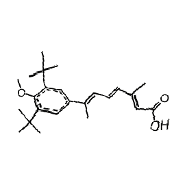 COc1c(C(C)(C)C)cc(C(C)=CC=CC(C)=CC(=O)O)cc1C(C)(C)C